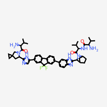 CC(C)C(N)C(=O)NC(C(=O)N1C2CCC(C2)C1c1nc2ccc(-c3ccc4c(c3)C(F)(F)c3cc(-c5cnc(C6CC7(CC7)CN6C(=O)C(N)C(C)C)[nH]5)ccc3-4)cc2[nH]1)C(C)C